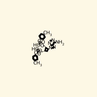 Cc1ccc(OP(=O)(O)OC[C@H]2C[C@@H](n3cnc4c(N)ncnc43)[C@H]2COP(=O)(O)Oc2ccc(C)cc2)cc1